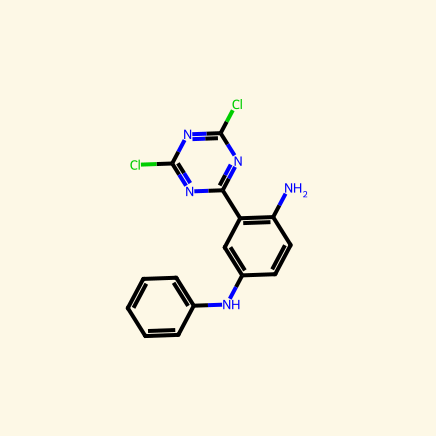 Nc1ccc(Nc2ccccc2)cc1-c1nc(Cl)nc(Cl)n1